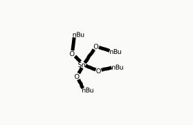 CCCC[O][Sn]([O]CCCC)([O]CCCC)[O]CCCC